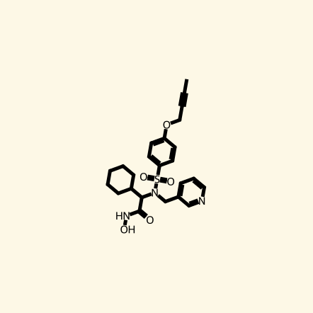 CC#CCOc1ccc(S(=O)(=O)N(Cc2cccnc2)C(C(=O)NO)C2CCCCC2)cc1